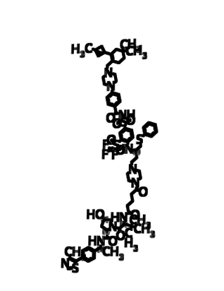 Cc1ncsc1-c1ccc([C@H](C)NC(=O)[C@@H]2C[C@@H](O)CN2C(=O)[C@@H](NC(=O)CCCC(=O)N2CCN(CC[C@H](CSc3ccccc3)Nc3ccc(S(=O)(=O)NC(=O)c4ccc(N5CCN(CC6=C(C78CC(C)(C7)C8)CC(C)(C)CC6)CC5)cc4)cc3S(=O)(=O)C(F)(F)F)CC2)C(C)(C)C)cc1